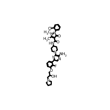 Cc1c(C(=O)NC2CCN(c3nc(-c4cccc(OCC(O)CN5CCCC5)c4F)cnc3N)CC2)c(=O)n(-c2ccccc2Cl)n1C